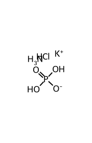 Cl.N.O=P([O-])(O)O.[K+]